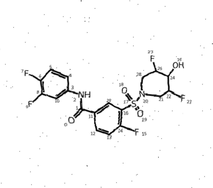 O=C(Nc1ccc(F)c(F)c1)c1ccc(F)c(S(=O)(=O)N2CC(F)C(O)C(F)C2)c1